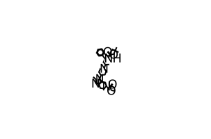 COC(=O)N1CCc2nc(C)n(C3CCN(C(C)C[C@H](NC(=O)OC(C)(C)C)c4ccccc4)CC3)c2C1